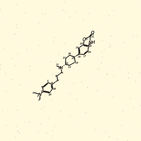 CN(C)c1ccc(CCCN(C)[C@H]2CC[C@H](c3ccc4[nH]c(=O)oc4c3)CC2)cc1